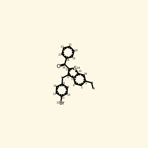 CCc1ccc2c(Cc3ccc(Br)cc3)c(C(=O)c3ccccc3)sc2c1